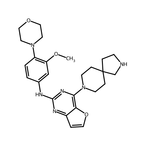 COc1cc(Nc2nc(N3CCC4(CCNC4)CC3)c3occc3n2)ccc1N1CCOCC1